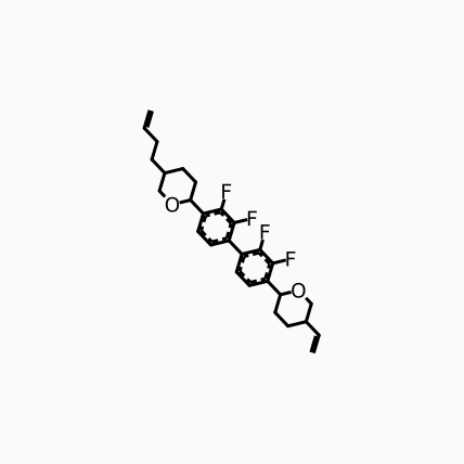 C=CCCC1CCC(c2ccc(-c3ccc(C4CCC(C=C)CO4)c(F)c3F)c(F)c2F)OC1